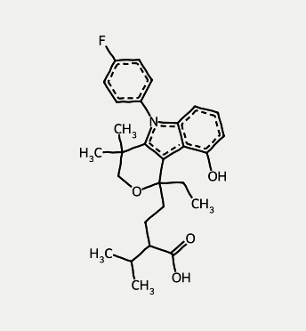 CCC1(CCC(C(=O)O)C(C)C)OCC(C)(C)c2c1c1c(O)cccc1n2-c1ccc(F)cc1